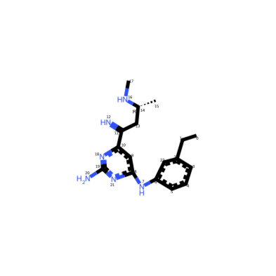 CCc1cccc(Nc2cc(C(=N)C[C@@H](C)NC)nc(N)n2)c1